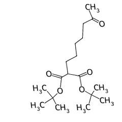 CC(=O)CCCCCC(C(=O)OC(C)(C)C)C(=O)OC(C)(C)C